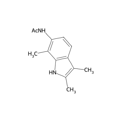 CC(=O)Nc1ccc2c(C)c(C)[nH]c2c1C